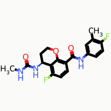 CNC(=O)N[C@H]1CCOc2c(C(=O)Nc3ccc(F)c(C)c3)ccc(F)c21